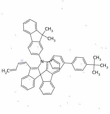 C=C/C=C\C1=C(N(c2ccc(-c3ccc(C(C)(C)C)cc3)cc2)c2ccc3c(c2)C(C)(C)c2ccccc2-3)C2(c3ccccc31)c1ccccc1-c1ccccc12